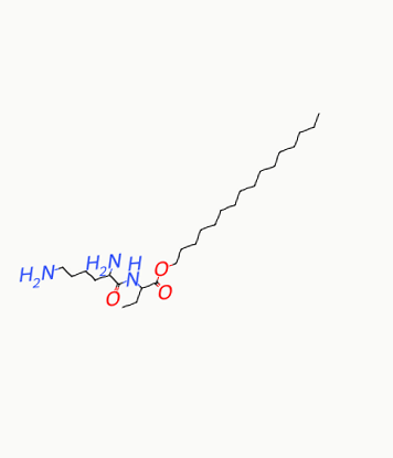 CCCCCCCCCCCCCCCCOC(=O)C(CC)NC(=O)C(N)CCCCN